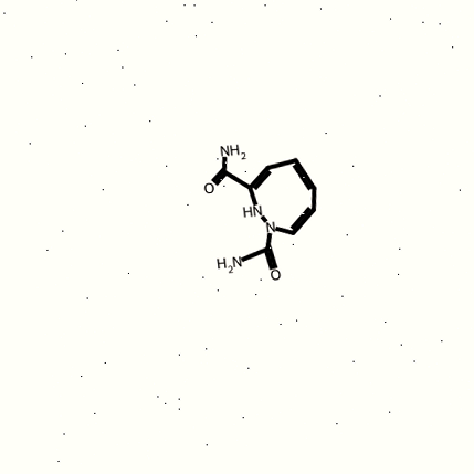 NC(=O)c1cccccn(C(N)=O)[nH]1